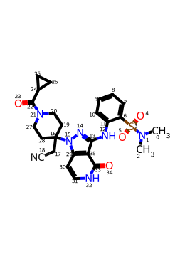 CN(C)S(=O)(=O)c1ccccc1Nc1nn(C2(CC#N)CCN(C(=O)C3CC3)CC2)c2cc[nH]c(=O)c12